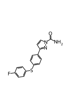 NC(=O)n1ccc(-c2ccc(Sc3ccc(F)cc3)cc2)n1